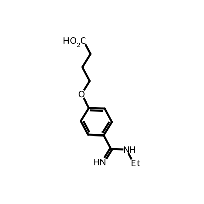 CCNC(=N)c1ccc(OCCCC(=O)O)cc1